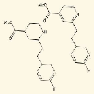 COC(=O)C1CCNC(CCc2ccc(F)cc2)C1.COC(=O)c1ccnc(CCc2ccc(F)cc2)c1